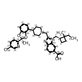 CCC1(C)CC[C@H]1Cn1c(CN2CCC(c3cccc4c3O[C@@](C)(c3ccc(Cl)cn3)O4)CC2)nc2ccc(C(=O)O)cc21